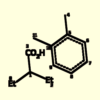 CCC(CC)C(=O)O.Cc1ccccc1C